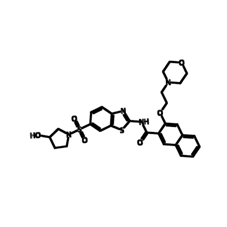 O=C(Nc1nc2ccc(S(=O)(=O)N3CCC(O)C3)cc2s1)c1cc2ccccc2cc1OCCN1CCOCC1